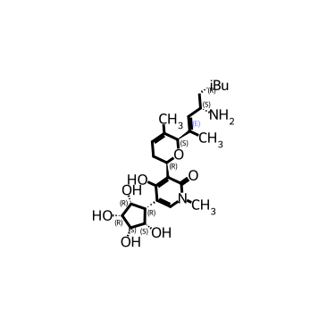 CC[C@@H](C)C[C@H](N)/C=C(\C)[C@H]1O[C@@H](c2c(O)c([C@@H]3[C@H](O)[C@H](O)[C@H](O)[C@@H]3O)cn(C)c2=O)CC=C1C